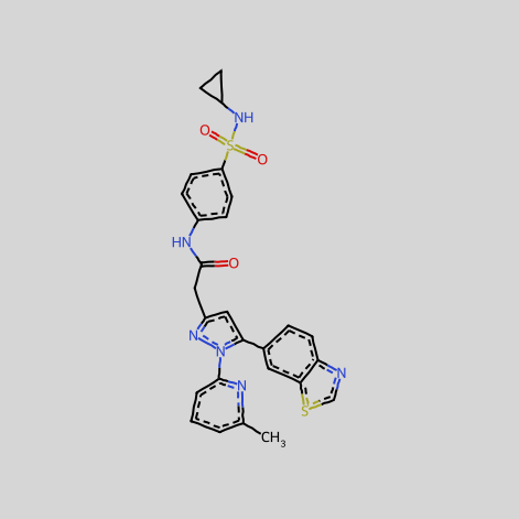 Cc1cccc(-n2nc(CC(=O)Nc3ccc(S(=O)(=O)NC4CC4)cc3)cc2-c2ccc3ncsc3c2)n1